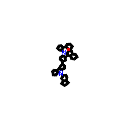 c1ccc(-c2ccccc2-n2c3ccc(-c4ccc5c(c4)c4ccccc4n5-c4ccc5ccccc5c4)cc3c3c4ccccc4ccc32)cc1